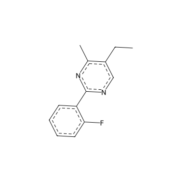 CCc1cnc(-c2ccccc2F)nc1C